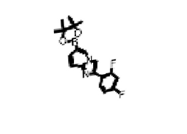 CC1(C)OB(c2ccc3nc(-c4ccc(F)cc4F)cn3c2)OC1(C)C